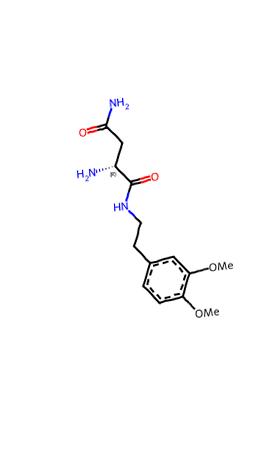 COc1ccc(CCNC(=O)[C@H](N)CC(N)=O)cc1OC